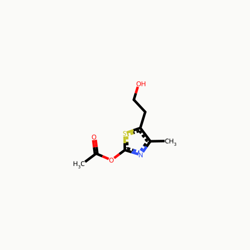 CC(=O)Oc1nc(C)c(CCO)s1